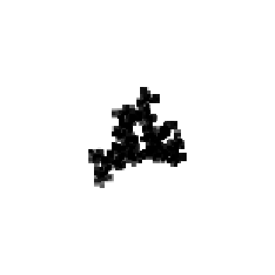 CC(C)C[C@H](NC(=O)CNC(=O)[C@H](CCCNC(=N)N)NC(=O)[C@H](C)NC(=O)[C@H](C)NC(=O)[C@H](CCCNC(=N)N)NC(=O)[C@H](CC(C)C)NC(=O)[C@@H](NC(=O)[C@H](CC(C)C)NC(=O)[C@H](CC(C)C)NC(=O)[C@H](CO)NC(=O)[C@H](CCCNC(=N)N)NC(=O)CNC(=O)CN)C(C)C)C(=O)N[C@@H](Cc1ccc(O)cc1)C(=O)N[C@@H](CCCNC(=N)N)C(=O)N[C@@H](C)C(=O)N[C@@H](Cc1c[nH]cn1)C(=O)N[C@@H](Cc1c[nH]cn1)C(=O)O